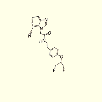 N#Cc1cccc2ncn(CC(=O)NCCc3ccc(OC(CF)CF)cc3)c12